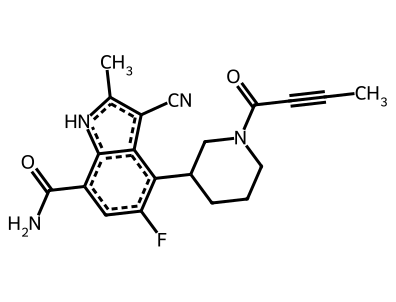 CC#CC(=O)N1CCCC(c2c(F)cc(C(N)=O)c3[nH]c(C)c(C#N)c23)C1